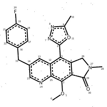 COc1c2c(c(-c3nnc(C)o3)c3cc(Cc4ccc(F)cc4)cnc13)CN(C)C2=O